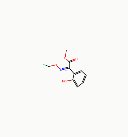 COC(=O)/C(=N\OCF)c1ccccc1O